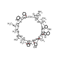 CCCCC[C@H]1C(=O)N(C)CC(=O)N[C@@H](CC(=O)O)C(=O)N[C@@H](C(C)C)C(=O)N(C)[C@@H](Cc2ccccc2)C(=O)N[C@@H](Cc2ccc(O)cc2)C(=O)N2[C@H](CCC2(C)C)C(=O)N[C@@H](Cc2c[nH]c3ccccc23)C(=O)N[C@@H](Cc2ccc(O)cc2)C(=O)N[C@@H](CC(C)C)C(=O)N[C@H](C(=O)NCC(N)=O)CSCC(=O)N[C@@H](Cc2ccccc2)C(=O)N(C)[C@@H](Cc2ccccc2)C(=O)N1C